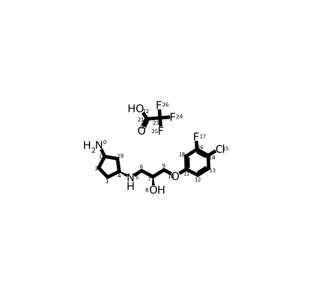 NC1CC[C@H](NC[C@H](O)COc2ccc(Cl)c(F)c2)C1.O=C(O)C(F)(F)F